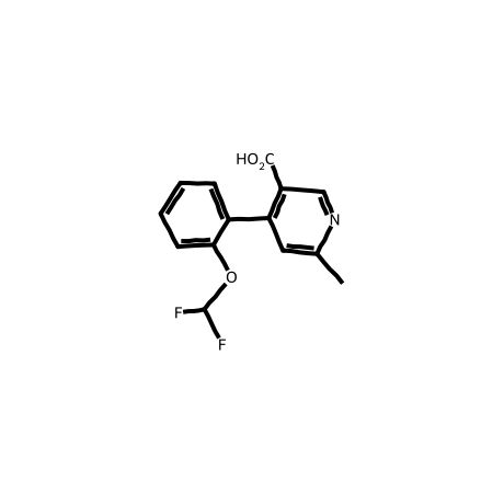 Cc1cc(-c2ccccc2OC(F)F)c(C(=O)O)cn1